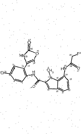 Cn1c(C(=O)Nc2ccc(Cl)cc2-c2noc(=O)[nH]2)cc2cccc(NC(=O)CF)c21